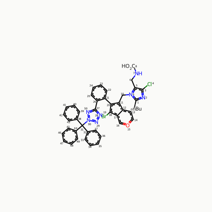 CCCCc1nc(Cl)c(CNC(=O)O)n1Cc1c2ccocc-2c(Br)c1-c1ccccc1-c1nnn(C(c2ccccc2)(c2ccccc2)c2ccccc2)n1